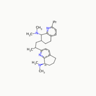 CC(C)c1ccc2c(n1)C(N(C)C)C(CC(C)c1ccc3c(n1)[C@H](N(C)C)CCC3)CC2